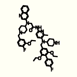 CCOc1cc(CN2CCC(N(CC(=O)Nc3ccc(N(Cc4cc(OCC)c(-c5ccc(F)cc5)c(OCC)c4)C4CCNCC4)c(C)n3)c3cnc4ccccc4c3)CC2)ccc1F